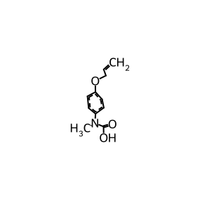 C=CCOc1ccc(N(C)C(=O)O)cc1